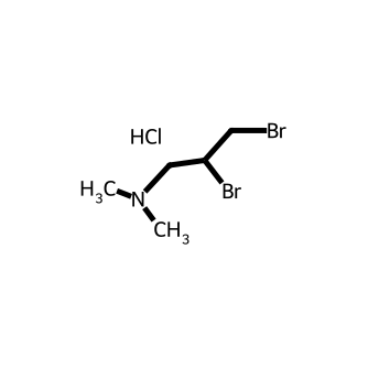 CN(C)CC(Br)CBr.Cl